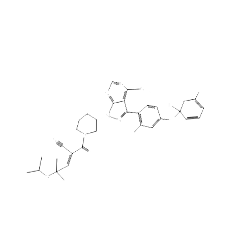 CC(C)NC(C)(C)C=C(C#N)C(=O)N1CCC[C@H](n2nc(-c3ccc(OC4(F)C=CC=C(F)C4)cc3F)c3c(N)ncnc32)C1